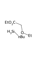 CCCC[SiH3].CCOCC(=O)OCC